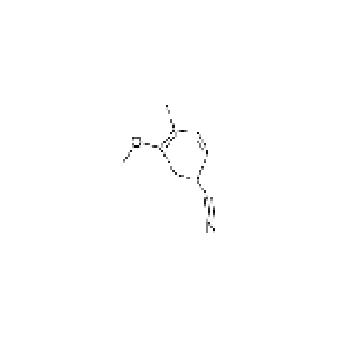 COC1=C(C)C=CC(C#N)C1